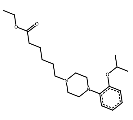 CCOC(=O)CCCCCN1CCN(c2ccccc2OC(C)C)CC1